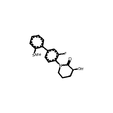 CSc1ccccc1-c1ccc(N2CCCC(O)C2=O)c(F)c1